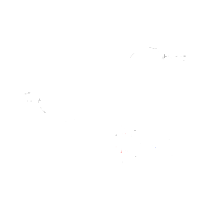 CCCCC/C=C\C/C=C\CCCCCCCCC1(CCCCCCCC/C=C\C/C=C\CCCCC)O[C@@H]2C3CC([C@H]2O1)[C@H](N(C)C)C3